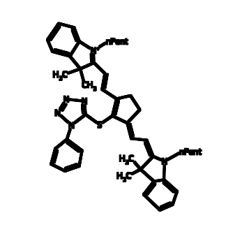 CCCCCN1/C(=C/C=C2\CCC(/C=C/C3=[N+](CCCCC)c4ccccc4C3(C)C)=C2Sc2nnnn2-c2ccccc2)C(C)(C)c2ccccc21